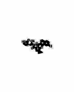 CC(C)(C)[C@@H](C(=O)c1cc(Cl)ccc1Cl)C(=O)N1CC2(CC2)C[C@H]1C(=O)N[C@H](C#N)C[C@@H]1CCNC1=O